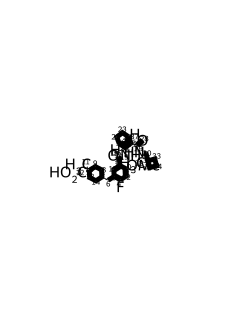 COc1cc(F)c(C[C@H]2CC[C@](C)(C(=O)O)CC2)cc1C(=O)N[C@@H]1[C@H]2CC[C@H](C2)[C@@H]1C(=O)NCC1(C)CCC1